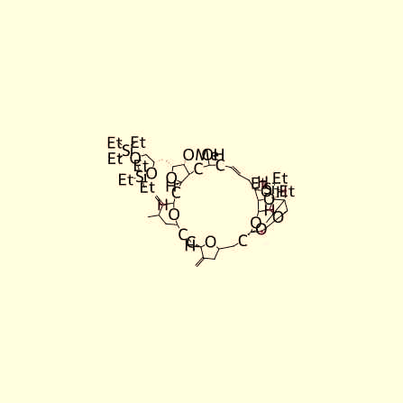 C=C1CC2CC[C@@]34CC5OC6[C@@H](O3)C(O[Si](CC)(CC)CC)[C@H](C/C=C/CC(O)CC3[C@H](C[C@H]7OC(CC[C@@H]1O2)CC(C)C7=C)O[C@H](C[C@@H](CO[Si](CC)(CC)CC)O[Si](CC)(CC)CC)[C@@H]3OC)O[C@H]6C5O4